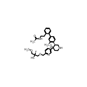 COCC(F)(S)COCc1ccc([C@@]2(O)CCNC[C@@H]2c2ccc(-c3ccccc3CCNC(C)=O)cc2C)cn1